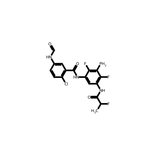 CC(F)C(=O)Nc1cc(NC(=O)c2cc(NC=O)ccc2Cl)c(F)c(P)c1F